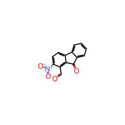 O=Cc1c([N+](=O)[O-])ccc2c1C(=O)c1ccccc1-2